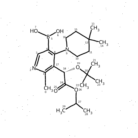 Cc1ncc(B(O)O)c(N2CCC(C)(C)CC2)c1[C@H](OC(C)(C)C)C(=O)OC(C)C